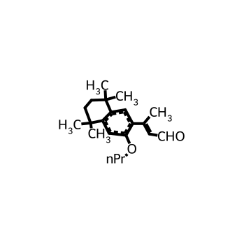 CCCOc1cc2c(cc1C(C)=CC=O)C(C)(C)CCC2(C)C